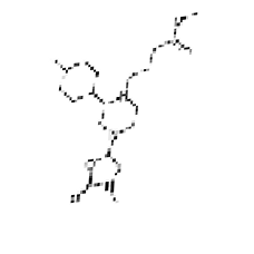 COC(=O)CCCN1CCN(C2CN(C)C(=O)O2)CC1C1CCN(C)CC1